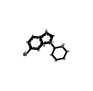 CCc1ccc2ncn(C3CCCCO3)c2c1